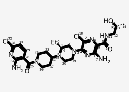 CC[C@H]1CN(c2nc(N)c(C(=O)NC[C@@H](C)O)nc2Cl)CCN1C1CCN(C(=O)c2ccc(Cl)nc2N)CC1